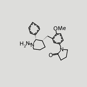 COc1ccc(N2CCCC2=O)cc1C[C@@H]1CCCN(N)[C@@H]1c1ccccc1